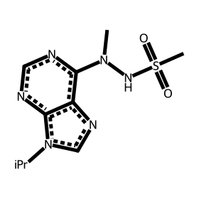 CC(C)n1cnc2c(N(C)NS(C)(=O)=O)ncnc21